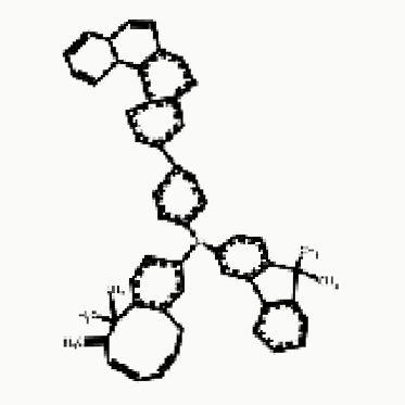 C=C1/C=C\C=C/Cc2cc(N(c3ccc(-c4ccc5c6c(ccc5c4)C=CC4C=CC=CC64)cc3)c3ccc4c(c3)-c3ccccc3C4(C)C)ccc2C1(C)C